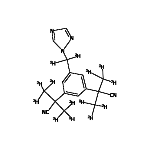 [2H]C([2H])(c1cc(C(C#N)(C([2H])([2H])[2H])C([2H])([2H])[2H])cc(C(C#N)(C([2H])([2H])[2H])C([2H])([2H])[2H])c1)n1cncn1